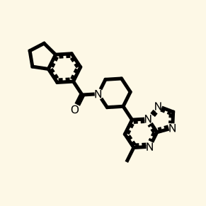 Cc1cc(C2CCCN(C(=O)c3ccc4c(c3)CCC4)C2)n2ncnc2n1